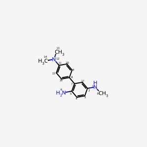 CNc1ccc(N)c(-c2ccc(N(C)C)cc2)c1